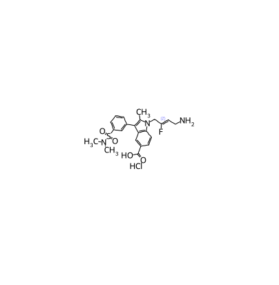 Cc1c(-c2cccc(S(=O)(=O)N(C)C)c2)c2cc(C(=O)O)ccc2n1C/C(F)=C/CN.Cl